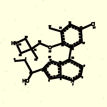 CCC(O)c1cc2nccc(-c3cc(Cl)cc(C)c3OCC3(C)CNC3)c2s1